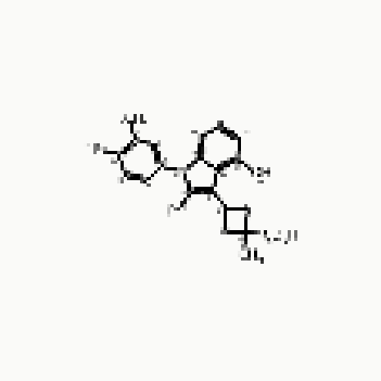 Cc1cc(-n2c(C(C)C)c(C3CC(C)(C(=O)O)C3)c3c(O)cccc32)ccc1F